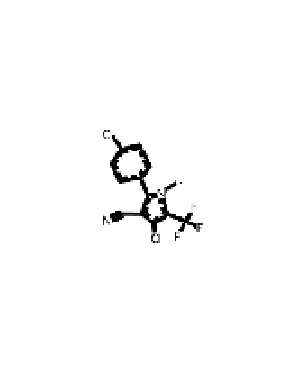 [CH2]n1c(-c2ccc(Cl)cc2)c(C#N)c(Cl)c1C(F)(F)F